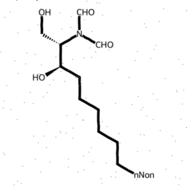 CCCCCCCCCCCCCCC[C@@H](O)[C@H](CO)N(C=O)C=O